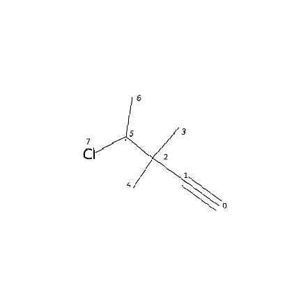 C#CC(C)(C)[C](C)Cl